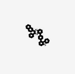 c1ccc(-c2nc3c(-c4ccc(-c5cccc6sc7ccccc7c56)cc4)cccc3nc2-c2ccc3ccccc3c2)cc1